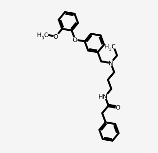 CCN(CCCNC(=O)Cc1ccccc1)Cc1cccc(Oc2ccccc2OC)c1